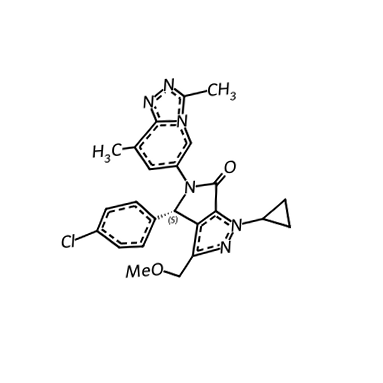 COCc1nn(C2CC2)c2c1[C@H](c1ccc(Cl)cc1)N(c1cc(C)c3nnc(C)n3c1)C2=O